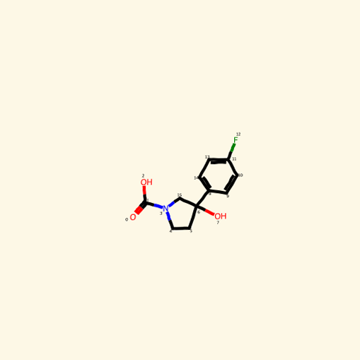 O=C(O)N1CCC(O)(c2ccc(F)cc2)C1